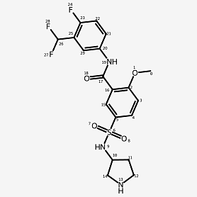 COc1ccc(S(=O)(=O)NC2CCNC2)cc1C(=O)Nc1ccc(F)c(C(F)F)c1